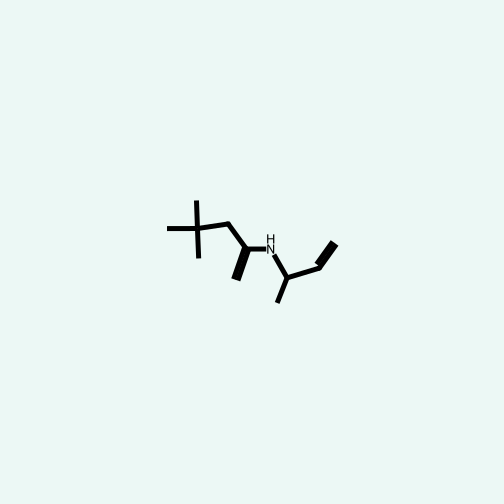 C=CC(C)NC(=C)CC(C)(C)C